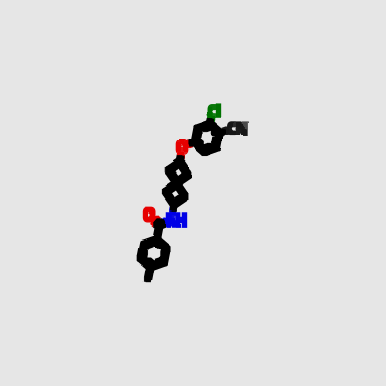 Cc1ccc(C(=O)NC2CC3(C2)CC(Oc2ccc(C#N)c(Cl)c2)C3)cc1